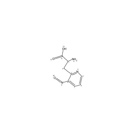 NC(Cc1ncccc1N=O)C(=O)O